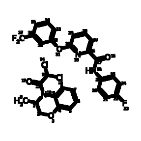 CC1COc2ccccc2N1C(=O)C(Cl)Cl.O=C(Nc1ccc(F)cc1)c1cccc(Oc2cccc(C(F)(F)F)c2)n1